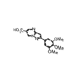 COc1cc(-c2cc3ncc(C(=O)O)cn3n2)cc(OC)c1OC